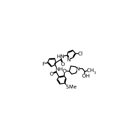 CSc1ccc(C(=O)Nc2cc(F)ccc2C(=O)Nc2ccc(Cl)cn2)c(OC2CCN(CC(C)O)CC2)c1